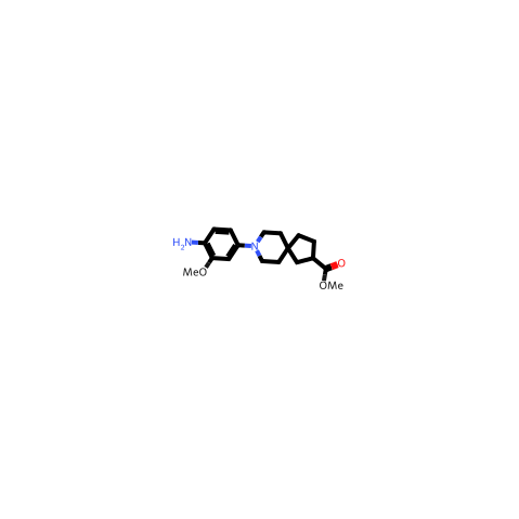 COC(=O)C1CCC2(CCN(c3ccc(N)c(OC)c3)CC2)C1